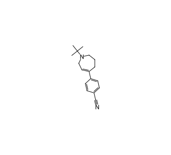 CC(C)(C)N1CC=C(c2ccc(C#N)cc2)CCC1